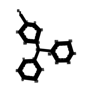 Ic1ccc([C](c2ccccc2)c2ccccc2)cc1